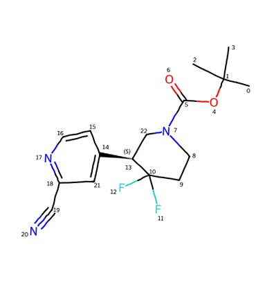 CC(C)(C)OC(=O)N1CCC(F)(F)[C@@H](c2ccnc(C#N)c2)C1